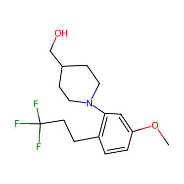 COc1ccc(CCC(F)(F)F)c(N2CCC(CO)CC2)c1